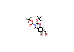 CC(C)(C)OC(=O)N(Cc1ccc(CBr)c(Br)c1)C(=O)OC(C)(C)C